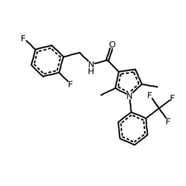 Cc1cc(C(=O)NCc2cc(F)ccc2F)c(C)n1-c1ccccc1C(F)(F)F